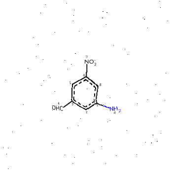 Nc1cc(C=O)cc([N+](=O)[O-])c1